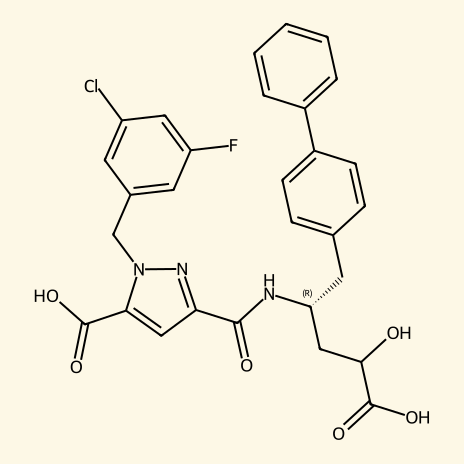 O=C(N[C@H](Cc1ccc(-c2ccccc2)cc1)CC(O)C(=O)O)c1cc(C(=O)O)n(Cc2cc(F)cc(Cl)c2)n1